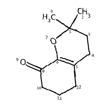 CC1(C)CCC2=C(O1)C(=O)CCC2